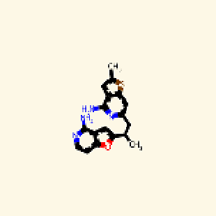 Cc1cc2c(N)nc(CC(C)c3cc4c(N)nccc4o3)cc2s1